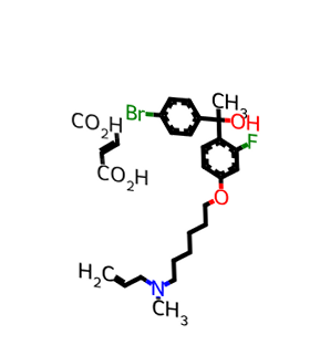 C=CCN(C)CCCCCCOc1ccc(C(C)(O)c2ccc(Br)cc2)c(F)c1.O=C(O)C=CC(=O)O